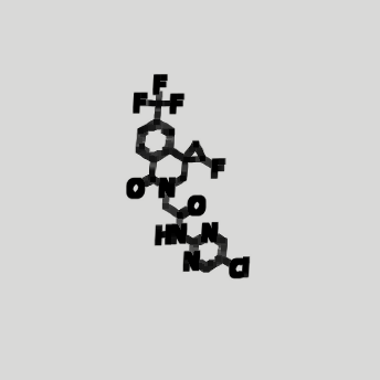 O=C(CN1CC2(CC2F)c2cc(C(F)(F)F)ccc2C1=O)Nc1ncc(Cl)cn1